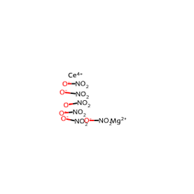 O=[N+]([O-])[O-].O=[N+]([O-])[O-].O=[N+]([O-])[O-].O=[N+]([O-])[O-].O=[N+]([O-])[O-].O=[N+]([O-])[O-].[Ce+4].[Mg+2]